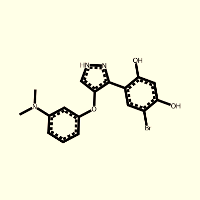 CN(C)c1cccc(Oc2c[nH]nc2-c2cc(Br)c(O)cc2O)c1